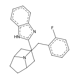 Fc1ccccc1CC1CC2CCC(C1)N2Cc1nc2ccccc2[nH]1